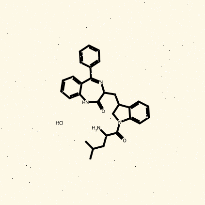 CC(C)CC(N)C(=O)N1CC(CC2N=C(c3ccccc3)c3ccccc3NC2=O)c2ccccc21.Cl